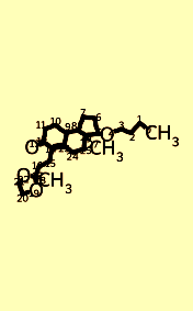 CCCCO[C@@H]1CCC2C3CCC(=O)C(CCC4(C)OCCO4)=C3CC[C@]21C